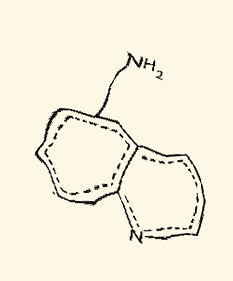 Nc1cc[c]c2ncccc12